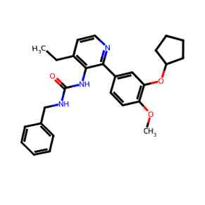 CCc1ccnc(-c2ccc(OC)c(OC3CCCC3)c2)c1NC(=O)NCc1ccccc1